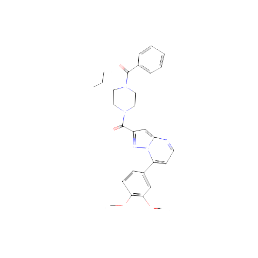 COc1ccc(-c2ccnc3cc(C(=O)N4CCN(C(=O)c5ccccc5)[C@@H](C(C)C)C4)nn23)cc1OC